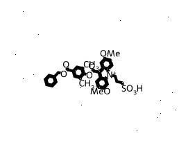 COc1ccc2c(c1)c(C(=O)Oc1c(C)cc(C(=O)OCc3ccccc3)cc1C)c1cc(OC)ccc1[n+]2CCCS(=O)(=O)O